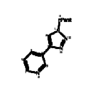 CCCCCn1cc(-c2cccnc2)nn1